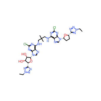 CCn1nnc([C@@H]2CC[C@H](n3cnc4c(NCC(C)(C)CNc5nc(Cl)nc6c5ncn6[C@@H]5O[C@H](c6nnn(CC)n6)[C@@H](O)[C@H]5O)nc(Cl)nc43)O2)n1